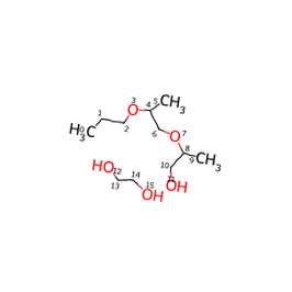 CCCOC(C)COC(C)CO.OCCO